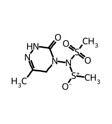 CC1=NNC(=O)N(N([S+](C)[O-])S(C)(=O)=O)C1